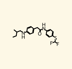 CCC(C)CNc1ccc(CC(=O)Nc2ccc(SC(F)F)cc2)cc1